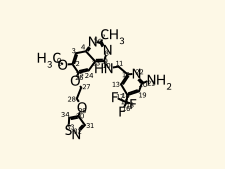 COc1cc2nc(C)nc(NCc3cc(C(F)(F)F)cc(N)n3)c2cc1OCCOc1cnsc1